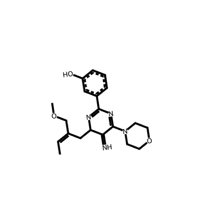 C/C=C(/COC)CC1N=C(c2cccc(O)c2)N=C(N2CCOCC2)C1=N